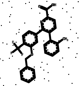 Cc1ccccc1-c1ccc(C(=O)O)nc1-c1ccc(C(F)(F)F)c(OCc2ccccc2)c1